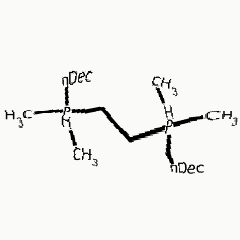 CCCCCCCCCC[PH](C)(C)CC[PH](C)(C)CCCCCCCCCC